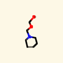 [O]COCN1CCCCC1